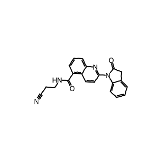 N#CCCNC(=O)c1cccc2nc(N3C(=O)Cc4ccccc43)ccc12